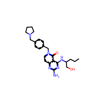 CCCC(CO)Nc1nc(N)nc2ccn(Cc3ccc(CN4CCCC4)cc3)c(=O)c12